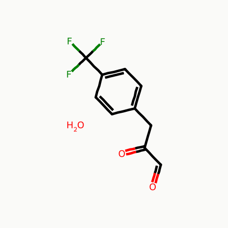 O.O=CC(=O)Cc1ccc(C(F)(F)F)cc1